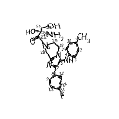 Cc1ccc(Nc2c(-c3ccc(F)cc3)nc3n2CCN(C(=O)[C@@](N)(O)CO)C3)cc1